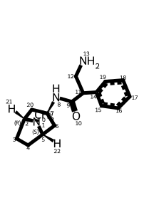 CN1[C@@H]2CC[C@H]1C[C@H](NC(=O)C(CN)c1ccccc1)C2